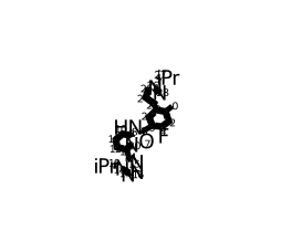 Cc1cc(F)c(C(=O)Nc2cccc(-c3nnnn3C(C)C)n2)cc1-c1ccn(C(C)C)n1